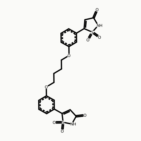 O=C1C=C(c2cccc(OCCCCOc3cccc(C4=CC(=O)NS4(=O)=O)c3)c2)S(=O)(=O)N1